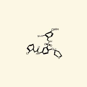 COc1ccc(CNS(=O)(=O)c2cc(NC(=O)Cc3ccccc3Cl)ccc2O[C@H]2CCSC2)c(OC)c1